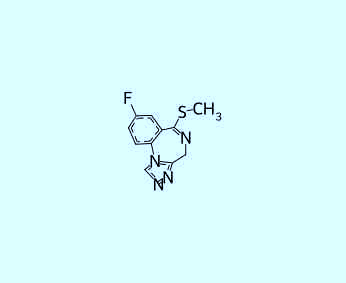 CSC1=NCc2nncn2-c2ccc(F)cc21